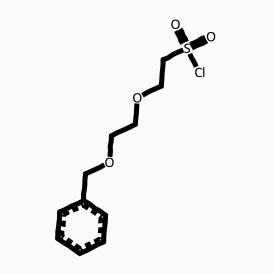 O=S(=O)(Cl)CCOCCOCc1ccccc1